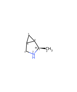 C[C@H]1NCC2CC21